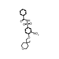 O=C(NS(=O)(=O)c1ccc(OCC2(F)CCOCC2)c([N+](=O)[O-])c1)c1ccccc1